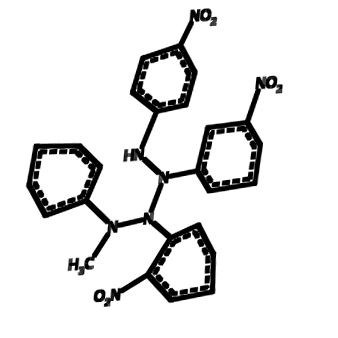 CN(c1ccccc1)N(c1ccccc1[N+](=O)[O-])N(Nc1ccc([N+](=O)[O-])cc1)c1cccc([N+](=O)[O-])c1